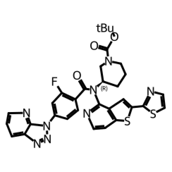 CC(C)(C)OC(=O)N1CCC[C@@H](N(C(=O)c2ccc(-n3nnc4cccnc43)cc2F)c2nccc3sc(-c4nccs4)cc23)C1